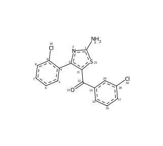 Nc1nc(-c2ccccc2Cl)c(C(=O)c2cccc(Cl)c2)s1